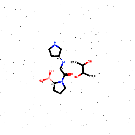 O=C(CN[C@@H]1CCNC1)N1CCC[C@H]1B(O)O.O=C(O)C(O)C(O)C(=O)O